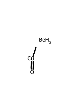 [BeH2].[CH3][Cu]=[O]